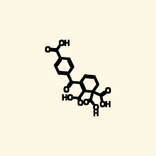 O=C(O)C1=C(C(=O)c2ccc(C(=O)O)cc2)C=CCC1(C(=O)O)C(=O)O